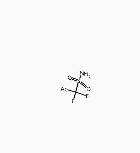 CC(=O)C(F)(F)S(N)(=O)=O